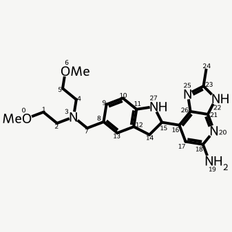 COCCN(CCOC)Cc1ccc2c(c1)CC(c1cc(N)nc3[nH]c(C)nc13)N2